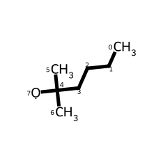 CCCCC(C)(C)[O]